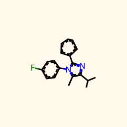 Cc1c(C(C)C)nc(-c2ccccc2)n1-c1ccc(F)cc1